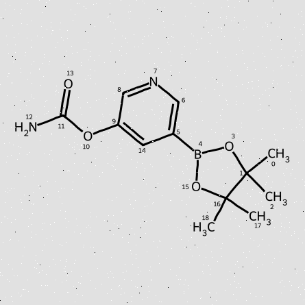 CC1(C)OB(c2cncc(OC(N)=O)c2)OC1(C)C